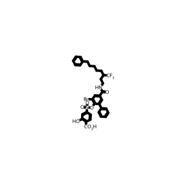 O=C(NCCC(CCCCCc1ccccc1)C(F)(F)F)c1cc(Br)c(OS(=O)(=O)c2ccc(C(=O)O)c(O)c2)c(-c2ccccc2)c1